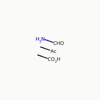 CC(=O)O.CC(C)=O.NC=O